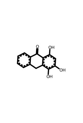 O=C1c2ccccc2Cc2c(O)c(O)cc(O)c21